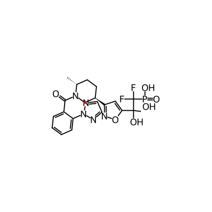 C[C@@H]1CC[C@@H](c2cc(C(C)(O)C(F)(F)P(=O)(O)O)on2)CN1C(=O)c1ccccc1-n1nccn1